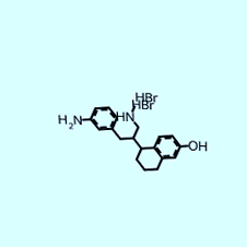 Br.Br.CNCC(Cc1cccc(N)c1)C1CCCc2cc(O)ccc21